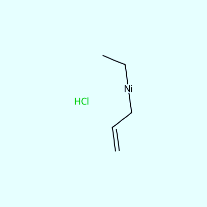 C=C[CH2][Ni][CH2]C.Cl